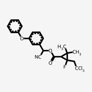 CC1(C)C(C(=O)OC(C#N)c2cccc(Oc3ccccc3)c2)C1(F)CC(Cl)(Cl)Cl